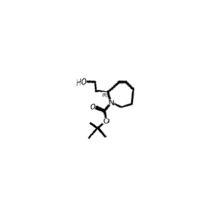 CC(C)(C)OC(=O)N1CCCCC[C@@H]1CCO